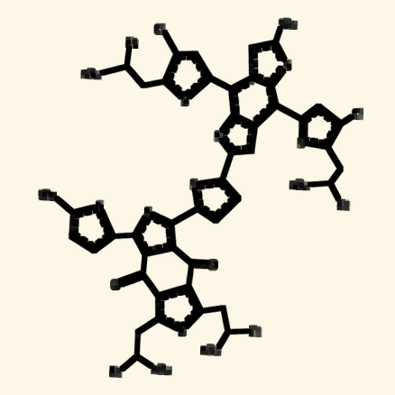 CCCCC(CC)Cc1sc(-c2c3cc(C(C)(C)C)sc3c(-c3cc(Cl)c(CC(CC)CCCC)s3)c3cc(-c4ccc(-c5sc(-c6ccc(C(C)(C)C)s6)c6c5C(=O)c5c(CC(CC)CCCC)sc(CC(CC)CCCC)c5C6=O)s4)sc23)cc1Cl